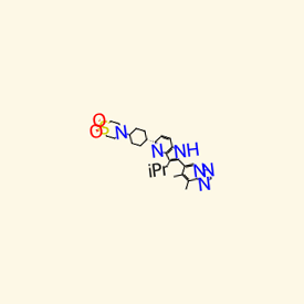 Cc1c(-c2[nH]c3ccc([C@H]4CC[C@H](N5CCS(=O)(=O)CC5)CC4)nc3c2C(C)C)cn2ncnc2c1C